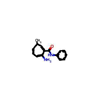 CC1C=CC=C(N)C(C(=O)Nc2ccccc2)=C1